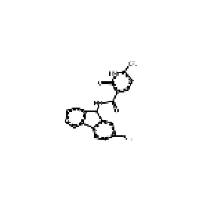 O=C(NC1c2ccccc2-c2ccc(C(F)(F)F)cc21)c1ccc(C(F)(F)F)[nH]c1=O